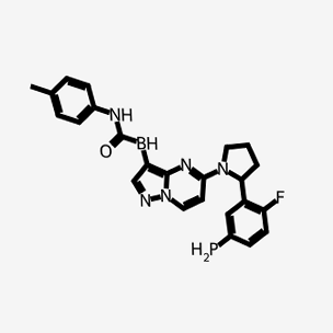 Cc1ccc(NC(=O)Bc2cnn3ccc(N4CCCC4c4cc(P)ccc4F)nc23)cc1